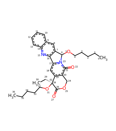 CCCCCOC1c2cc3ccccc3nc2-c2cc3c(c(=O)n21)COC(=O)[C@@]3(CC)OCCCCC